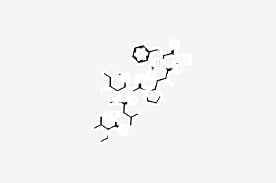 CC[C@H](C(=O)N[C@H](C(=O)N(C)[C@@H]([C@@H](C)CC)[C@@H](CC(=O)N1CCC[C@H]1[C@H](OC)[C@@H](C)C(=O)N[C@@H](Cc1ccccc1)C(=O)O)OC)C(C)C)C(C)C